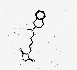 CN(CCCCCN1C(=O)CSC1=O)C1CCc2ccccc2O1